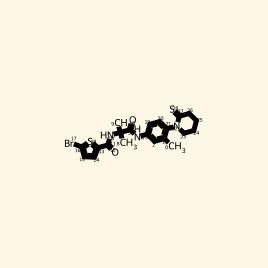 Cc1cc(NC(=O)C(C)(C)NC(=O)c2ccc(Br)s2)ccc1N1CCCCC1=S